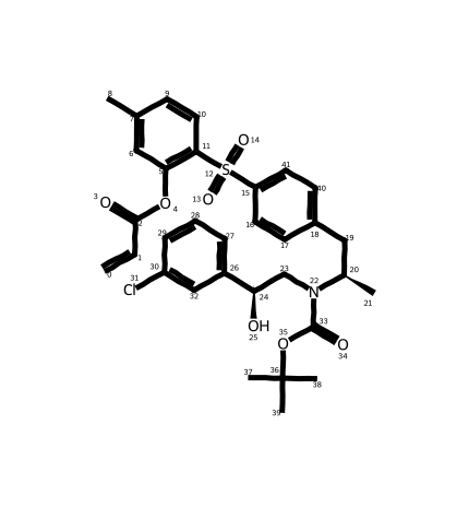 C=CC(=O)Oc1cc(C)ccc1S(=O)(=O)c1ccc(C[C@@H](C)N(C[C@@H](O)c2cccc(Cl)c2)C(=O)OC(C)(C)C)cc1